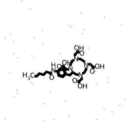 CCCCCC(=O)Nc1ccc(CC2CN(CC(=O)O)CCN(CC(=O)O)CCN(CC(=O)O)CCN2CC(=O)O)cc1